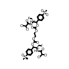 C=S(C)(=O)c1ccc([C@@H](OC(=O)OCCOC(=O)O[C@H](c2ccc(S(C)(=O)=O)cc2)[C@@H](CF)NC(=O)C(Cl)Cl)[C@@H](CF)NC(=O)C(Cl)Cl)cc1